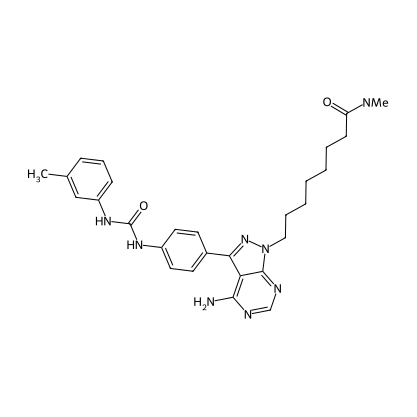 CNC(=O)CCCCCCCn1nc(-c2ccc(NC(=O)Nc3cccc(C)c3)cc2)c2c(N)ncnc21